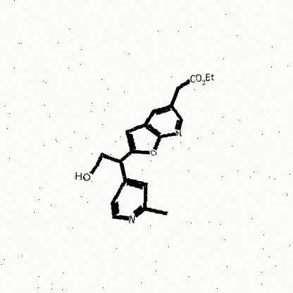 CCOC(=O)Cc1cnc2oc(C(CO)c3ccnc(C)c3)cc2c1